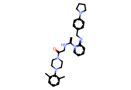 C=C(NCC(=O)N1CCN(c2c(C)cccc2C)CC1)n1cccc/c1=N/Cc1ccc(N2CCCC2)cc1